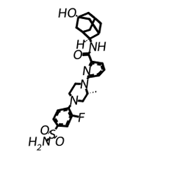 C[C@@H]1CN(c2ccc(S(N)(=O)=O)cc2F)CCN1c1cccc(C(=O)N[C@H]2C3CC4CC2C[C@](O)(C4)C3)n1